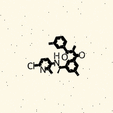 Cc1cccc(-c2oc3c([C@@H](C)Nc4ccc(Cl)nc4C)cc(C)cc3c(=O)c2C)c1